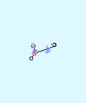 O=C(NCCCCCCS(=O)(=O)N(CCN1CCOCC1)OCC1CCCCC1)NCCc1ccccn1